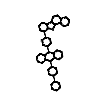 c1ccc(-c2ccc(-c3c4ccccc4c(-c4ccc(-c5cccc6c5sc5c7ccccc7ccc65)nc4)c4ccccc34)cc2)cc1